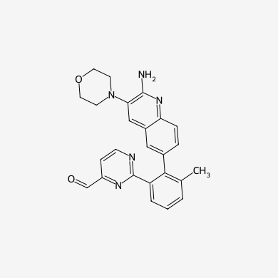 Cc1cccc(-c2nccc(C=O)n2)c1-c1ccc2nc(N)c(N3CCOCC3)cc2c1